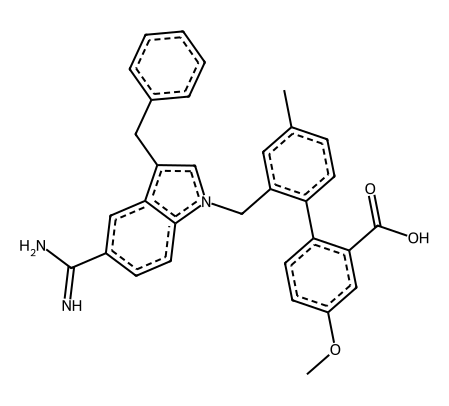 COc1ccc(-c2ccc(C)cc2Cn2cc(Cc3ccccc3)c3cc(C(=N)N)ccc32)c(C(=O)O)c1